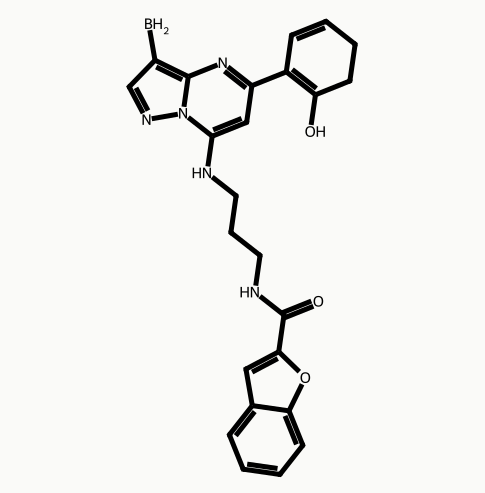 Bc1cnn2c(NCCCNC(=O)c3cc4ccccc4o3)cc(C3=C(O)CCC=C3)nc12